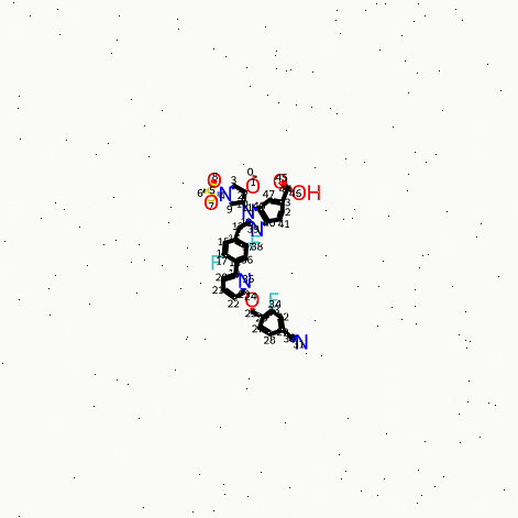 CO[C@@H]1CN(S(C)(=O)=O)C[C@@H]1n1c(Cc2cc(F)c(-c3cccc(OCc4ccc(C#N)cc4F)n3)cc2F)nc2ccc(C(=O)O)cc21